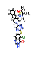 CC(C)(C)[S+]([O-])N[C@@H]1c2ccccc2CC12CCN(c1cnc(Sc3ccc4nc[nH]c(=O)c4c3Cl)nn1)CC2